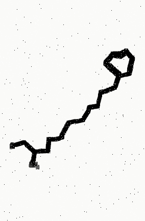 CC(CBr)CCCCCCCCCc1ccccc1